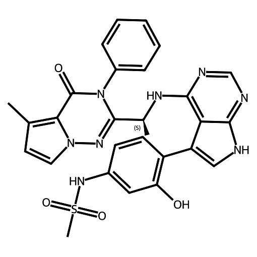 Cc1ccn2nc([C@H](C)Nc3ncnc4[nH]cc(-c5ccc(NS(C)(=O)=O)cc5O)c34)n(-c3ccccc3)c(=O)c12